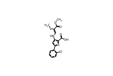 COC(=O)C(=CNc1cc(-c2ccccc2Cl)sc1C(=O)O)SC